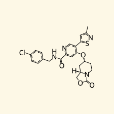 Cc1cc(-c2cnc(C(=O)NCc3ccc(Cl)cc3)cc2O[C@H]2CCN3C(=O)OC[C@@H]3C2)sn1